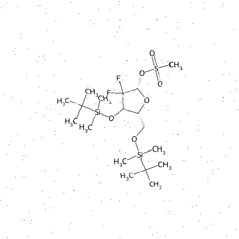 CC(C)(C)[Si](C)(C)OC[C@H]1O[C@@H](OS(C)(=O)=O)C(F)(F)C1O[Si](C)(C)C(C)(C)C